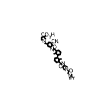 Cc1c(-c2nc3c(o2)CN(C(=O)CN(C)C(C)C)C3)cccc1-c1cccc(-c2nc3cc(CN4CC[C@@](C)(C(=O)O)C4)cc(C#N)c3o2)c1C